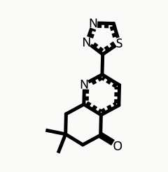 CC1(C)CC(=O)c2ccc(-c3nncs3)nc2C1